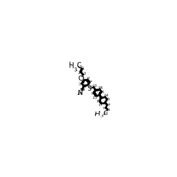 CCCCOc1ccc(SCc2ccc(C3CCC(CCCC)CC3)cc2)c(C#N)c1